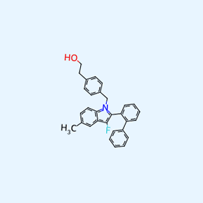 Cc1ccc2c(c1)c(F)c(-c1ccccc1-c1ccccc1)n2Cc1ccc(CCO)cc1